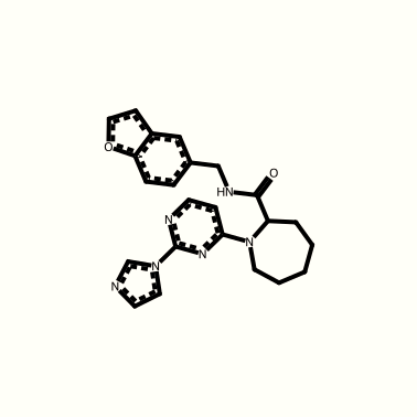 O=C(NCc1ccc2occc2c1)C1CCCCCN1c1ccnc(-n2ccnc2)n1